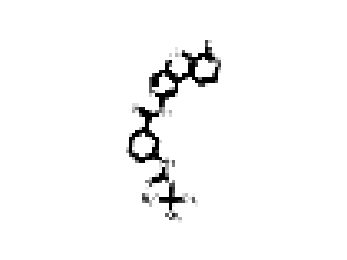 CC(C)(C)OC(=O)NC1CCCC(C(=O)Nc2cc(-c3ccnc(Cl)c3Cl)c(F)cn2)C1